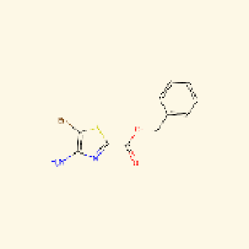 Nc1nc(C(=O)OCc2ccccc2)sc1Br